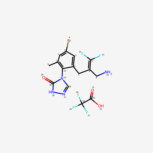 Cc1cc(Br)cc(CC(CN)=C(F)F)c1-n1cn[nH]c1=O.O=C(O)C(F)(F)F